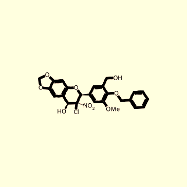 COc1cc([C@@H]2Oc3cc4c(cc3[C@H](O)[C@@]2(Cl)[N+](=O)[O-])OCO4)cc(CO)c1OCc1ccccc1